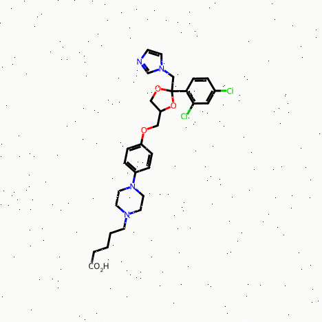 O=C(O)CCCCN1CCN(c2ccc(OCC3COC(Cn4ccnc4)(c4ccc(Cl)cc4Cl)O3)cc2)CC1